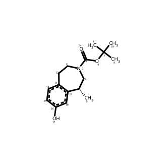 C[C@H]1CN(C(=O)OC(C)(C)C)CCc2ccc(O)cc21